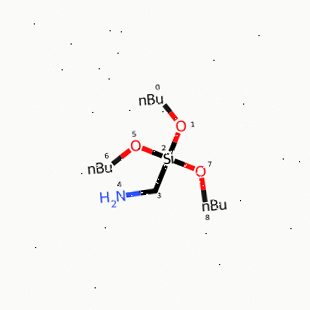 CCCCO[Si](CN)(OCCCC)OCCCC